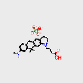 CN(C)c1ccc2c(c1)C(C)(C)c1cc3c(cc1=C2)CCC[N+]=3CCCC(=O)O.[O-][Cl+3]([O-])([O-])[O-]